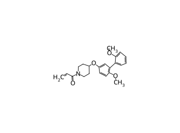 C=CC(=O)N1CCC(Oc2ccc(OC)c(-c3ccccc3OC)c2)CC1